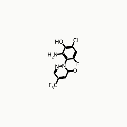 Nc1c(O)c(Cl)cc(F)c1-n1ncc(C(F)(F)F)cc1=O